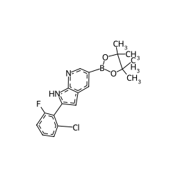 CC1(C)OB(c2cnc3[nH]c(-c4c(F)cccc4Cl)cc3c2)OC1(C)C